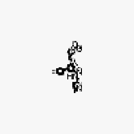 COC(=O)N1CCC(COc2cc(-c3ccc(F)cc3)cc3c(NCc4ccc(C)nn4)ncnc23)C1